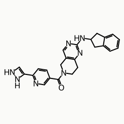 O=C(c1ccc(-c2c[nH][nH]2)nc1)N1CCc2nc(NC3Cc4ccccc4C3)ncc2C1